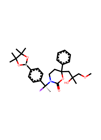 COCC(C)(O)CC1(c2ccccc2)CCN([C@@](C)(I)c2ccc(B3OC(C)(C)C(C)(C)O3)cc2)C(=O)O1